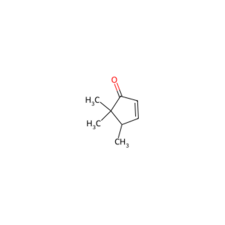 CC1C=CC(=O)C1(C)C